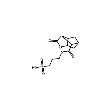 O=C(SCCCS(=O)(=O)O)C1C2CC3OC(=O)C1C3C2